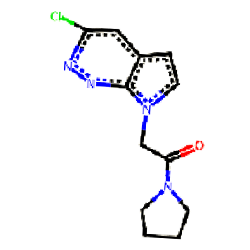 O=C(Cn1ccc2cc(Cl)nnc21)N1CCCC1